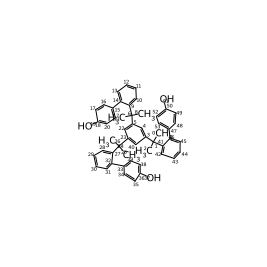 CC(C)(c1cc(C(C)(C)c2ccccc2-c2ccc(O)cc2)cc(C(C)(C)c2ccccc2-c2ccc(O)cc2)c1)c1ccccc1-c1ccc(O)cc1